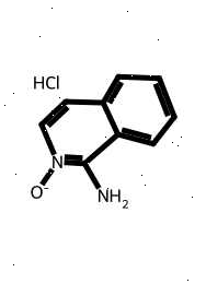 Cl.Nc1c2ccccc2cc[n+]1[O-]